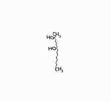 CCCCCCCCCC(O)CCCCCC(O)CC